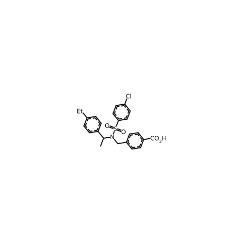 CCc1ccc(C(C)N(Cc2ccc(C(=O)O)cc2)S(=O)(=O)c2ccc(Cl)cc2)cc1